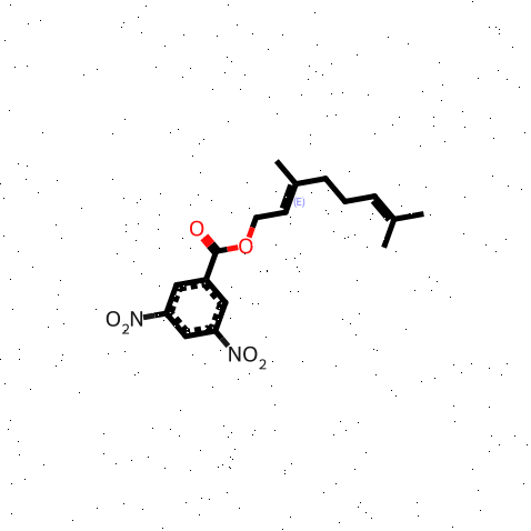 CC(C)=CCC/C(C)=C/COC(=O)c1cc([N+](=O)[O-])cc([N+](=O)[O-])c1